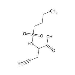 C#CCC(NS(=O)(=O)CCCC)C(=O)O